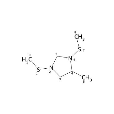 CSN1CC(C)N(SC)C1